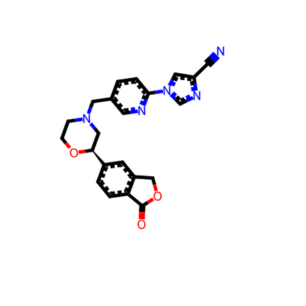 N#Cc1cn(-c2ccc(CN3CCO[C@H](c4ccc5c(c4)COC5=O)C3)cn2)cn1